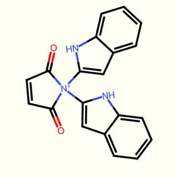 O=C1C=CC(=O)[N+]1(c1cc2ccccc2[nH]1)c1cc2ccccc2[nH]1